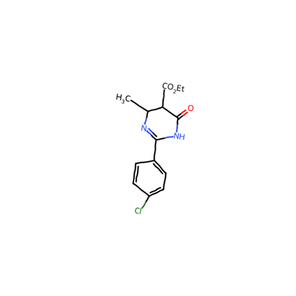 CCOC(=O)C1C(=O)NC(c2ccc(Cl)cc2)=NC1C